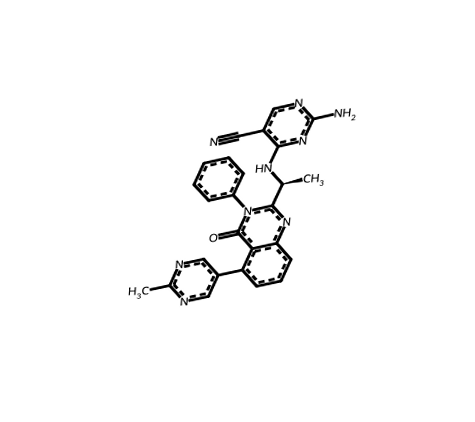 Cc1ncc(-c2cccc3nc([C@H](C)Nc4nc(N)ncc4C#N)n(-c4ccccc4)c(=O)c23)cn1